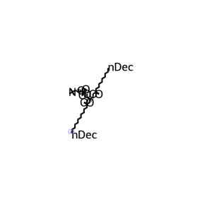 CCCCCCCCCC/C=C\CCCCCCCCCC(=O)O[C@H](COC(=O)CCCCCCCCCCCCCCCCCCC)COP(=O)([O-])OCC[N+](C)(C)C